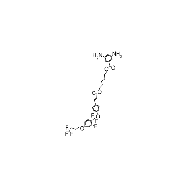 Nc1cc(N)cc(C(=O)OCCCCCCOC(=O)C=Cc2ccc(OC(F)(F)c3ccc(OCCCC(F)(F)F)cc3F)cc2)c1